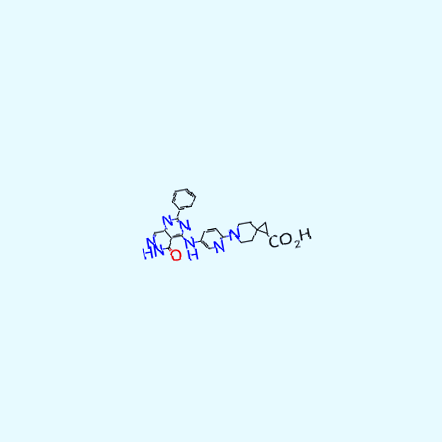 O=C(O)C1CC12CCN(c1ccc(Nc3nc(-c4ccccc4)nc4cn[nH]c(=O)c34)cn1)CC2